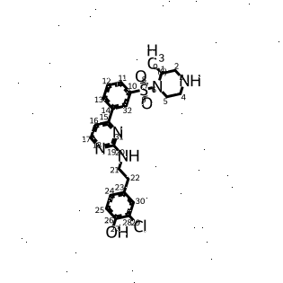 C[C@H]1CNCCN1S(=O)(=O)c1cccc(-c2ccnc(NCCc3ccc(O)c(Cl)c3)n2)c1